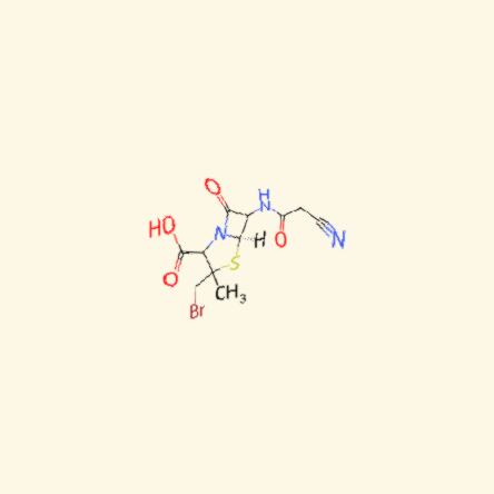 CC1(CBr)S[C@@H]2C(NC(=O)CC#N)C(=O)N2C1C(=O)O